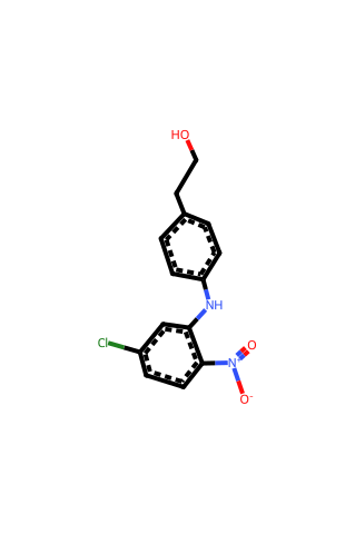 O=[N+]([O-])c1ccc(Cl)cc1Nc1ccc(CCO)cc1